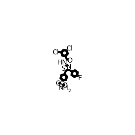 NS(=O)(=O)c1ccc(-c2sc(NC(=O)c3cc(Cl)cc(Cl)c3)nc2-c2ccc(F)cc2)cc1